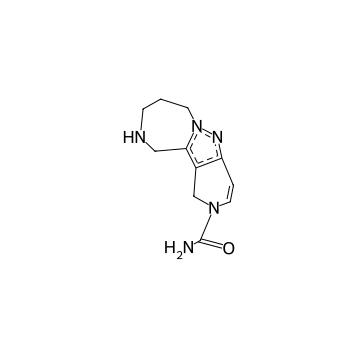 NC(=O)N1C=Cc2nn3c(c2C1)CNCCC3